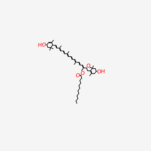 CCCCCCCCCCCC(=O)OC\C(=C/C=C/C(C)=C/C=C/C=C(C)/C=C/C=C(C)/C=C/C1C(C)=CC(O)CC1(C)C)C(=O)CC1=C(C)CC(O)CC1(C)C